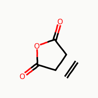 C=C.O=C1CCC(=O)O1